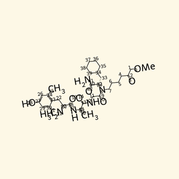 COCC(=O)CCCCN(C(=O)CNC(=O)[C@@H](C)NC(=O)[C@@H](N)Cc1c(C)cc(O)cc1C)[C@@H](CC1CCCCC1)C(N)=O